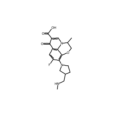 CNCC1CCN(c2c(F)cc3c(=O)c(C(=O)O)cn4c3c2OCC4C)C1